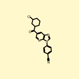 N#Cc1ccc(-n2cnc3cc(C(=O)C4CCCC(Cl)C4)cnc32)cc1